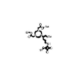 CCOc1c(NCCCC(CC(C)(C)C)N2CCN(CC(=O)OC(C)(C)C)CCN(CC(=O)OC(C)(C)C)CC2)c(=O)c1=O